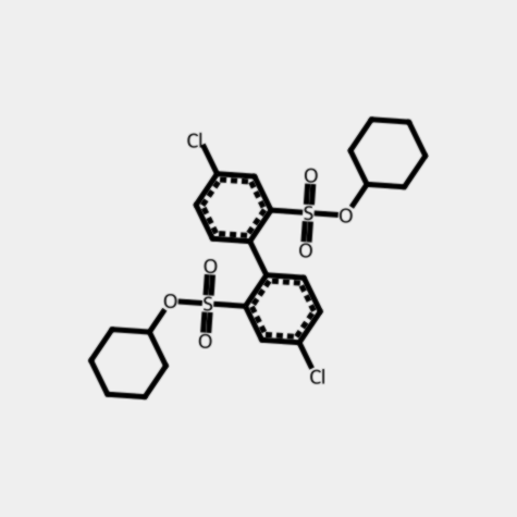 O=S(=O)(OC1CCCCC1)c1cc(Cl)ccc1-c1ccc(Cl)cc1S(=O)(=O)OC1CCCCC1